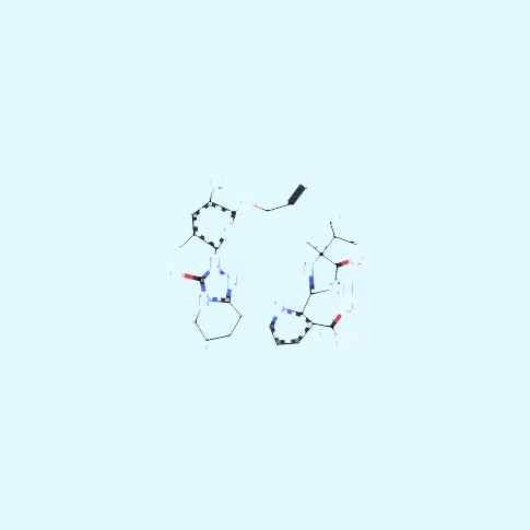 C#CCOc1cc(-n2nc3n(c2=O)CCCC3)c(Cl)cc1Cl.CC(C)C1(C)N=C(c2ncccc2C(=O)O)NC1=O